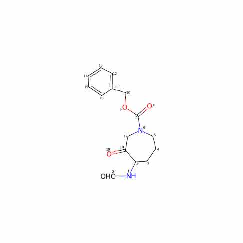 O=CNC1CCCN(C(=O)OCc2ccccc2)CC1=O